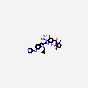 COc1cc(C(=O)N2C[C@H]3CC[C@@H]2[C@@H]3N)cc2nc(-c3cc4ccc(Nc5ccncc5)cc4n3CC3CC3)n(C)c12